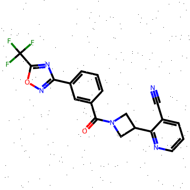 N#Cc1cccnc1C1CN(C(=O)c2cccc(-c3noc(C(F)(F)F)n3)c2)C1